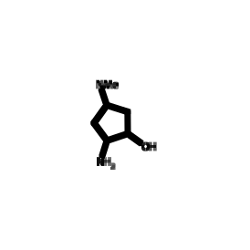 CNC1CC(N)C(O)C1